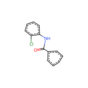 O=C(Nc1ccccc1Cl)c1[c]cccc1